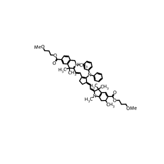 COCCCOC(=O)C1=CC2=C(CC1C)N(C)/C(=C/C=C1\CCC(/C=C/C3=[N+](C)Cc4ccc(C(=O)OCCCOC)cc4C3(C)C)=C1N(c1ccccc1)c1ccccc1)C2(C)C